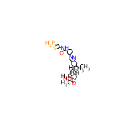 CC(=O)[C@@]1(O)CC[C@H]2[C@@H]3C[C@H](C)C4=Cc5nn(-c6cccc(C(=O)Nc7csc(P)c7)c6)cc5C[C@]4(C)[C@H]3CC[C@@]21C